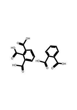 O=C(O)c1cccc(C(=O)O)c1C(=O)O.O=C(O)c1ccccc1C(=O)O